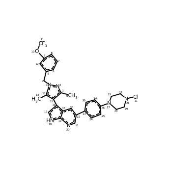 Cc1nn(Cc2cccc(OC(F)(F)F)c2)c(C)c1-c1c[nH]c2ncc(-c3ccc(N4CCN(Cl)CC4)cc3)cc12